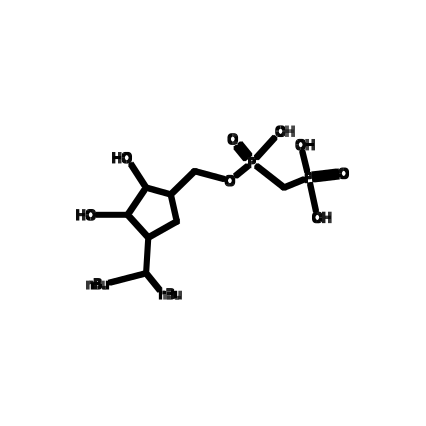 CCCCC(CCCC)C1CC(COP(=O)(O)CP(=O)(O)O)C(O)C1O